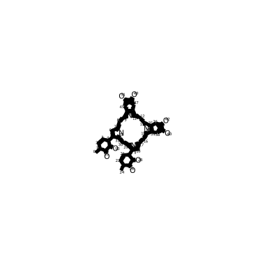 CC1C=CC(C2=Cc3cc4[nH]c(cc5nc(cc6cc(C7C=CC(C)C(=O)C7=O)c(cc2n3)[nH]6)C2=C5C3CC2C(=O)C3=O)c2c4C3CC2C(=O)C3=O)C(=O)C1=O